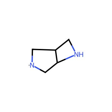 C1[N]CC2NCC12